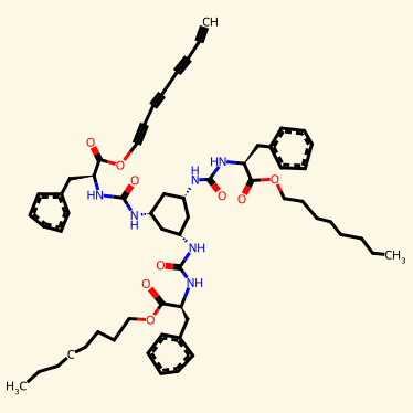 C#CC#CC#CC#COC(=O)[C@H](Cc1ccccc1)NC(=O)N[C@H]1C[C@@H](NC(=O)N[C@@H](Cc2ccccc2)C(=O)OCCCCCCCC)C[C@@H](NC(=O)N[C@@H](Cc2ccccc2)C(=O)OCCCCCCCC)C1